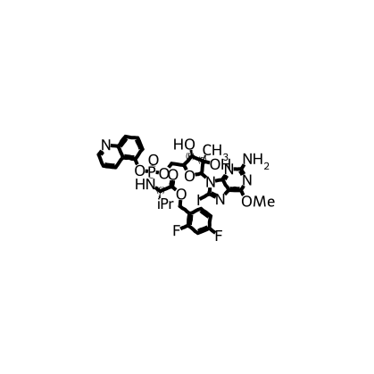 COc1nc(N)nc2c1nc(I)n2C1OC(COP(=O)(N[C@H](C(=O)OCc2ccc(F)cc2F)C(C)C)Oc2cccc3ncccc23)[C@@H](O)[C@@]1(C)O